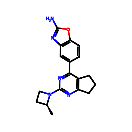 C[C@H]1CCN1c1nc2c(c(-c3ccc4oc(N)nc4c3)n1)CCC2